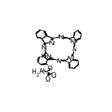 O=[S](=O)([AlH2])Oc1cccc2c3nc4nc(nc5[nH]c(nc6nc(nc([nH]3)c12)-c1ccccc1-6)c1ccccc51)-c1ccccc1-4